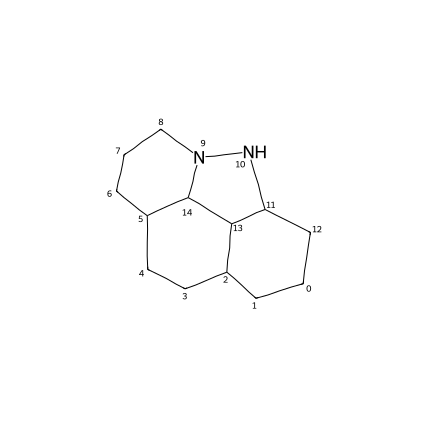 C1CC2CCC3CCCN4NC(C1)C2C34